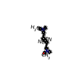 Cc1ccc(N(c2ccccc2)c2ccc(C=Cc3ccc4c(C#N)c5cc(C=Cc6ccc(N(c7ccccc7)c7ccc(C)cc7)cc6)ccc5c(C#N)c4c3)cc2)cc1